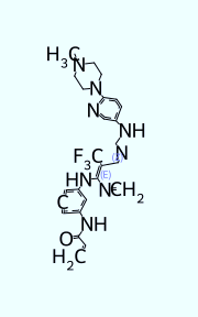 C=CC(=O)Nc1cccc(N/C(N=C)=C(/C=N\CNc2ccc(N3CCN(C)CC3)nc2)C(F)(F)F)c1